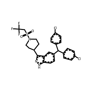 O=S(=O)(CC(F)(F)F)N1CCC(c2n[nH]c3ccc(C(c4ccc(Cl)cc4)c4ccc(Cl)cc4)cc23)CC1